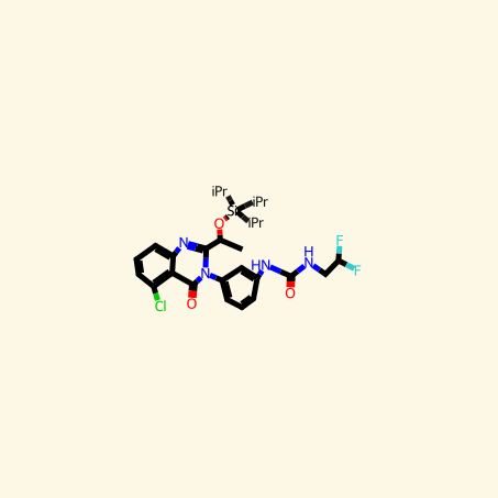 CC(O[Si](C(C)C)(C(C)C)C(C)C)c1nc2cccc(Cl)c2c(=O)n1-c1cccc(NC(=O)NCC(F)F)c1